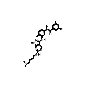 Cc1ccc(NC(=O)c2cc(F)cc(F)c2)cc1Nc1nn(C)c2nc(NCCCCN(C)C)ncc12